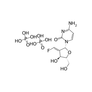 Nc1ccn([C@@H]2O[C@H](CO)[C@@H](O)C2=CF)c(=O)n1.O=P(O)(O)O.O=P(O)(O)O